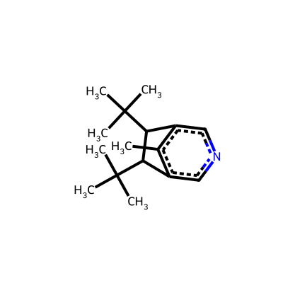 Cc1c2cncc1C(C(C)(C)C)C2C(C)(C)C